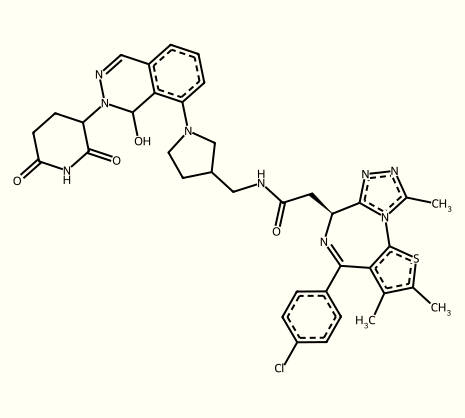 Cc1sc2c(c1C)C(c1ccc(Cl)cc1)=N[C@@H](CC(=O)NCC1CCN(c3cccc4c3C(O)N(C3CCC(=O)NC3=O)N=C4)C1)c1nnc(C)n1-2